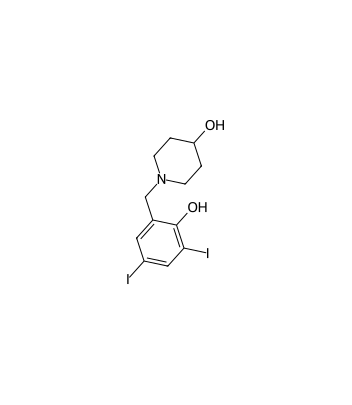 Oc1c(I)cc(I)cc1CN1CCC(O)CC1